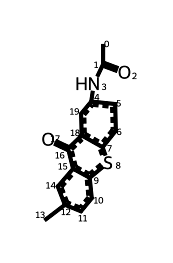 CC(=O)Nc1ccc2sc3ccc(C)cc3c(=O)c2c1